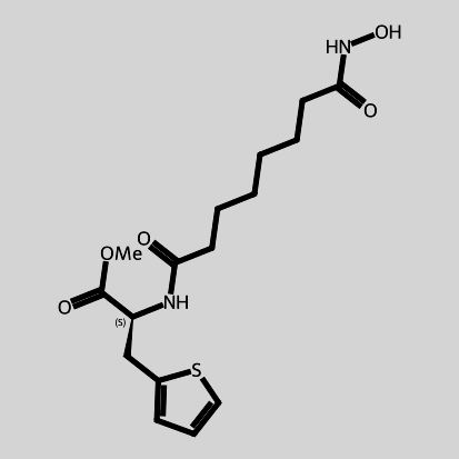 COC(=O)[C@H](Cc1cccs1)NC(=O)CCCCCCC(=O)NO